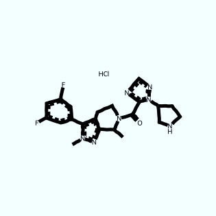 CC1c2nn(C)c(-c3cc(F)cc(F)c3)c2CCN1C(=O)c1ncnn1C1CCNC1.Cl